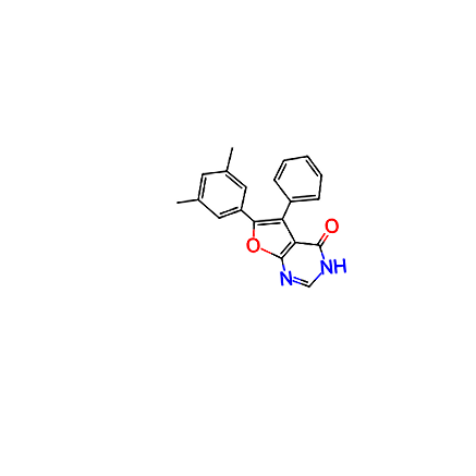 Cc1cc(C)cc(-c2oc3nc[nH]c(=O)c3c2-c2ccccc2)c1